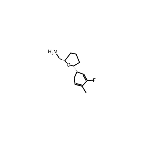 CC1=CCC([C@H]2CCC[C@@H](CN)O2)C=C1F